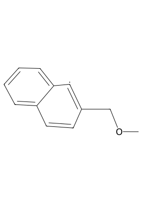 COCc1[c]c2ccccc2cc1